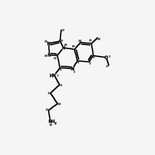 COc1cc2nc(NCCCCN)c3nnc(C)n3c2cc1C